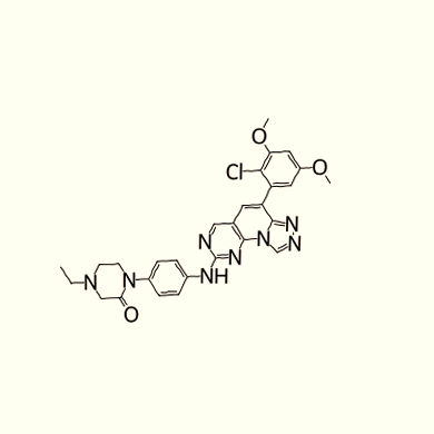 CCN1CCN(c2ccc(Nc3ncc4cc(-c5cc(OC)cc(OC)c5Cl)c5nncn5c4n3)cc2)C(=O)C1